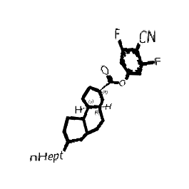 CCCCCCCC1CCC2C(CC[C@@H]3C[C@H](C(=O)Oc4cc(F)c(C#N)c(F)c4)CC[C@H]23)C1